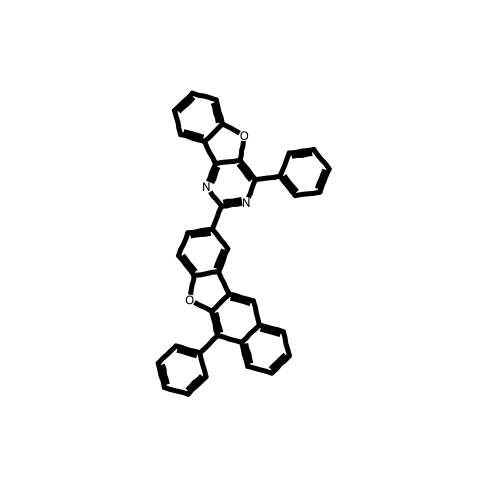 c1ccc(-c2c3ccccc3cc3c2oc2ccc(-c4nc(-c5ccccc5)c5oc6ccccc6c5n4)cc23)cc1